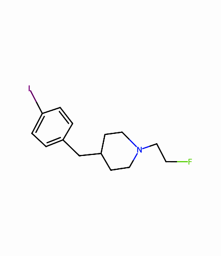 FCCN1CCC(Cc2ccc(I)cc2)CC1